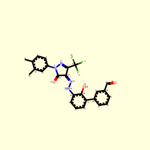 Cc1ccc(N2N=C(C(F)(F)F)/C(=N/Nc3cccc(-c4cccc([C]=O)c4)c3O)C2=O)cc1C